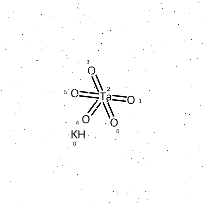 [KH].[O]=[Ta](=[O])(=[O])(=[O])=[O]